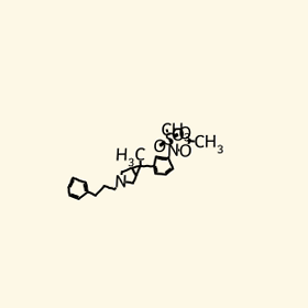 CC(=O)ON(c1cccc(C2(C)C3CN(CCCc4ccccc4)CC32)c1)S(C)(=O)=O